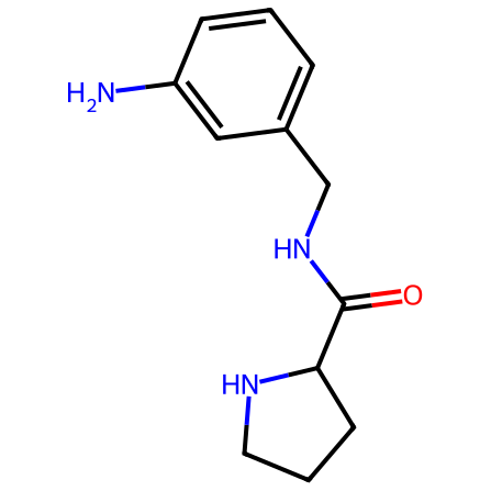 Nc1cccc(CNC(=O)C2CCCN2)c1